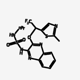 CCCNS(=O)(=O)Nc1nc2ccccc2nc1OC(c1cnc(C)s1)C(F)(F)F